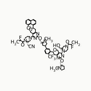 C=C(F)C(=O)N1CCN(c2nc(OC[C@@H]3CCCN3C)nc3c2COC(c2cc(C4C[C@H](COc5nc6c(c(N7CCN(C(=O)C(=C)F)[C@@H](CC#N)C7)n5)COC(c5cccc7cccc(Cl)c57)C6)N(C)C4)ccc2C(F)(F)F)C3)[C@@H](CO)C1